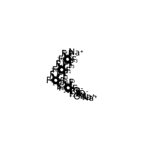 Fc1cc(F)c(F)c(F)c1F.Fc1cc(F)c(F)c(F)c1F.Fc1cc(F)c(F)c(F)c1F.Fc1cc(F)c(F)c(F)c1F.[Na+].[Na+].[Na+].[O-]B([O-])[O-]